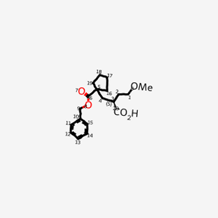 COCC[C@H](CC1(C(=O)OCc2ccccc2)CCCC1)C(=O)O